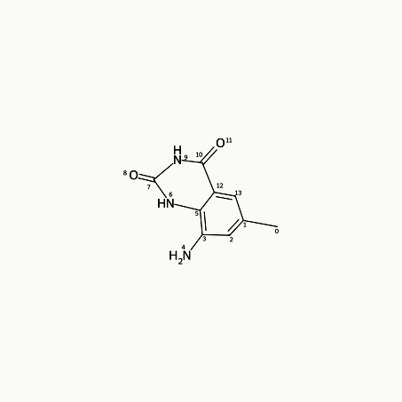 Cc1cc(N)c2[nH]c(=O)[nH]c(=O)c2c1